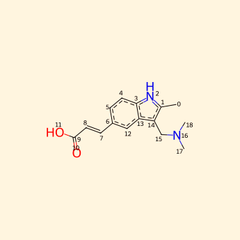 Cc1[nH]c2ccc(C=CC(=O)O)cc2c1CN(C)C